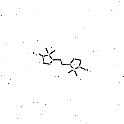 BN1CCN(CCN2CCN(B)[Si]2(C)C)[Si]1(C)C